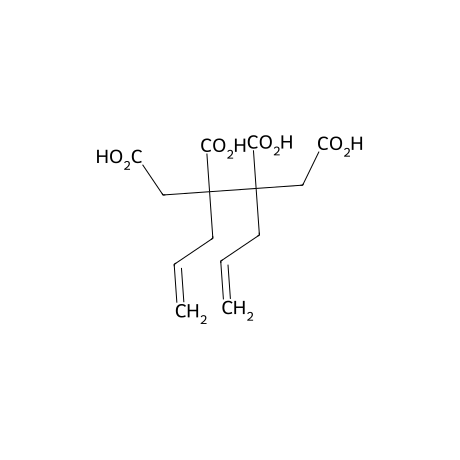 C=CCC(CC(=O)O)(C(=O)O)C(CC=C)(CC(=O)O)C(=O)O